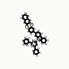 c1ccc(-c2cc(-n3c4ccccc4c4ccc(-c5ccc6c(c5)Oc5cc7ccccc7cc5O6)cc43)nc(-c3ccccc3)n2)cc1